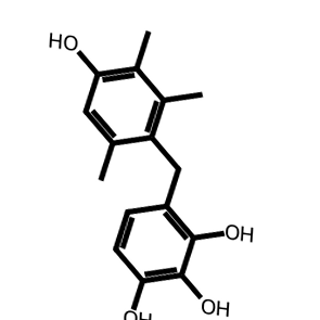 Cc1cc(O)c(C)c(C)c1Cc1ccc(O)c(O)c1O